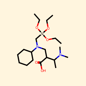 CCO[Si](CN(CC(C(=O)O)C(C)N(C)C)C1CCCCC1)(OCC)OCC